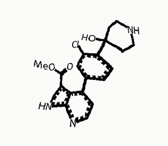 COC(=O)c1c[nH]c2nccc(-c3ccc(C4(O)CCNCC4)c(Cl)c3)c12